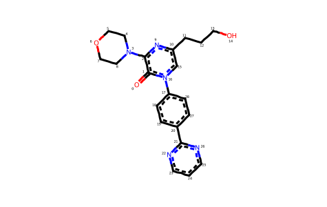 O=c1c(N2CCOCC2)nc(CCCO)cn1-c1ccc(-c2ncccn2)cc1